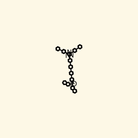 O=P(c1ccc(-c2ccc(-c3ccc(-c4ccc(-c5nc(-c6ccc(-c7ccccc7)cc6)nc(-c6ccc(-c7ccccc7)cc6)n5)cc4)cc3)cc2)cc1)(c1ccc2ccccc2c1)c1ccc2ccccc2c1